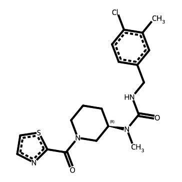 Cc1cc(CNC(=O)N(C)[C@@H]2CCCN(C(=O)c3nccs3)C2)ccc1Cl